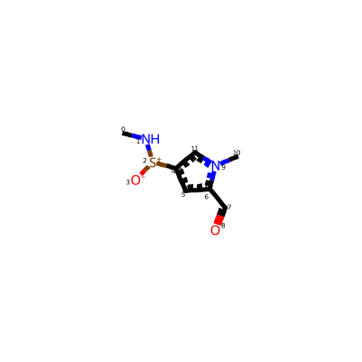 CN[S+]([O-])c1cc(C=O)n(C)c1